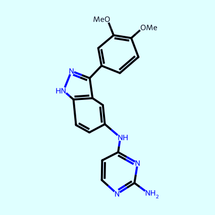 COc1ccc(-c2n[nH]c3ccc(Nc4ccnc(N)n4)cc23)cc1OC